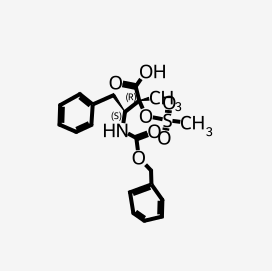 C[C@](OS(C)(=O)=O)(C(=O)O)[C@H](Cc1ccccc1)NC(=O)OCc1ccccc1